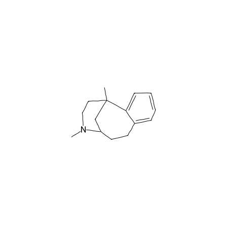 CN1CCC2(C)CC1CCc1ccccc12